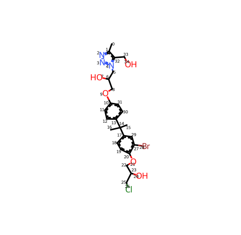 Cc1nnn(CC(O)COc2ccc(C(C)(C)c3ccc(OCC(O)CCl)c(Br)c3)cc2)c1CO